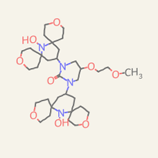 COCCOC1CN(C2CC3(CCOCC3)N(O)C3(CCOCC3)C2)C(=O)N(C2CC3(CCOCC3)N(O)C3(CCOCC3)C2)C1